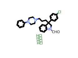 Cl.Cl.Cl.Cl.O=CNCC(CCCN1CCN(c2ccccc2)CC1)(c1ccccc1)c1ccc(Cl)cc1